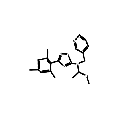 COC(C)N(Cc1cccnc1)c1nc(-c2c(C)cc(C)cc2C)ns1